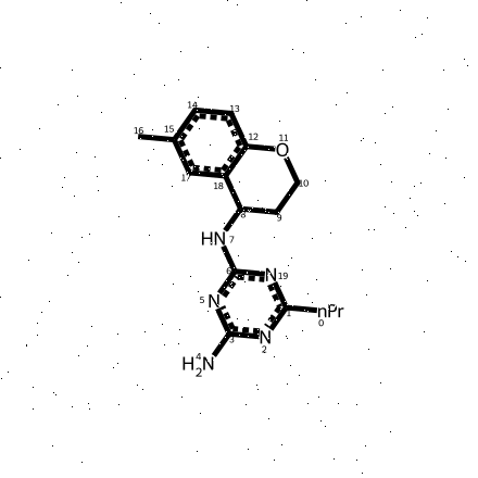 CCCc1nc(N)nc(NC2CCOc3ccc(C)cc32)n1